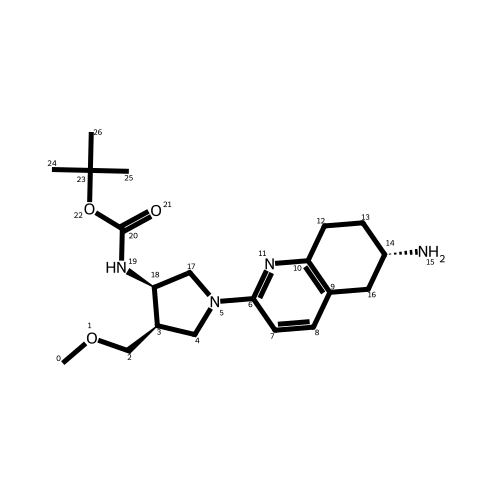 COC[C@@H]1CN(c2ccc3c(n2)CC[C@H](N)C3)C[C@@H]1NC(=O)OC(C)(C)C